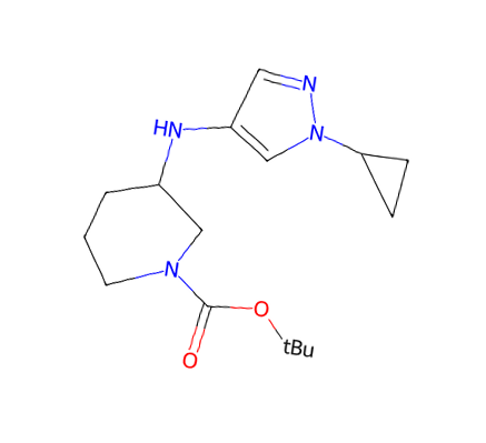 CC(C)(C)OC(=O)N1CCCC(Nc2cnn(C3CC3)c2)C1